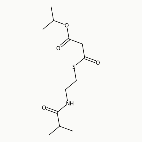 CC(C)OC(=O)CC(=O)SCCNC(=O)C(C)C